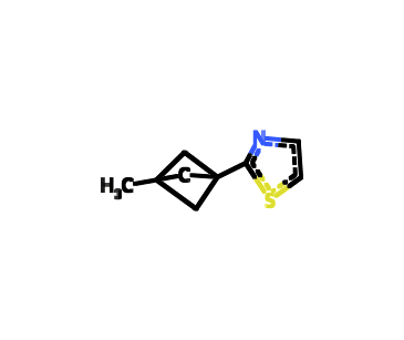 CC12CC(c3nccs3)(C1)C2